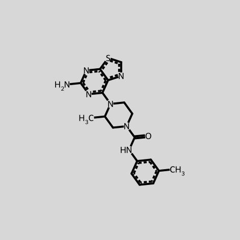 Cc1cccc(NC(=O)N2CCN(c3nc(N)nc4scnc34)C(C)C2)c1